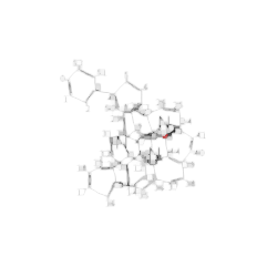 c1ccc(-c2cccc(-c3nc4c(ccc5ccccc54)nc3-n3c4ccc5ccc6ccc7ccc8ccc9ccc3c3c9c8c7c6c5c34)c2)cc1